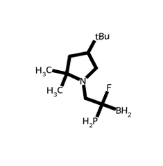 BC(F)(P)CN1CC(C(C)(C)C)CC1(C)C